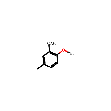 CCOc1ccc(C)cc1OC